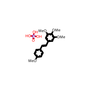 COc1ccc(C=Cc2cc(OC)c(OC)c(OC)c2)cc1.O=P(O)(O)O